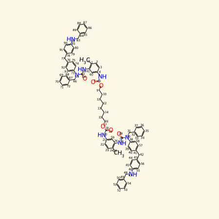 Cc1ccc(NC(=O)OCCCCCCCCOC(=O)Nc2ccc(C)c(NC(=O)N(Cc3ccccc3)c3ccc(Cc4ccc(NCc5ccccc5)cc4)cc3)c2)cc1NC(=O)N(Cc1ccccc1)c1ccc(Cc2ccc(NCc3ccccc3)cc2)cc1